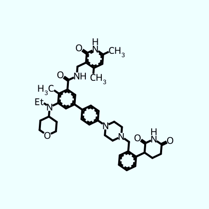 CCN(c1cc(-c2ccc(N3CCN(Cc4ccccc4C4CCC(=O)NC4=O)CC3)cc2)cc(C(=O)NCc2c(C)cc(C)[nH]c2=O)c1C)C1CCOCC1